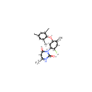 CC(=O)c1cc(C)cc(C)c1Oc1cc(-n2c(=O)cc(C(F)(F)F)[nH]c2=O)c(F)cc1C#N